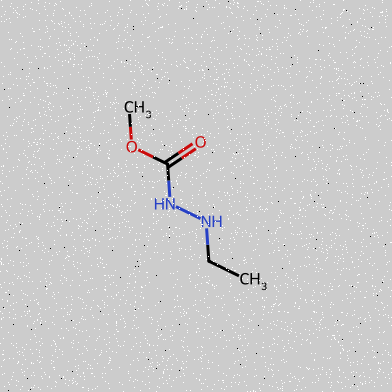 CCNNC(=O)OC